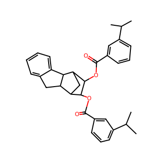 CC(C)c1cccc(C(=O)OC2C3CC(C2OC(=O)c2cccc(C(C)C)c2)C2c4ccccc4CC32)c1